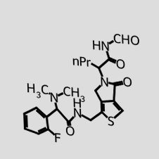 CCCC(C(=O)NC=O)N1Cc2c(csc2CNC(=O)C(c2ccccc2F)N(C)C)C1=O